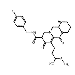 CSC(O)CCC1=C2C(=O)N3CCCNC3CN2CC(C(=O)NCc2ccc(F)cc2)C1=O